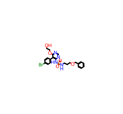 O=S(=O)(NCCCOCc1ccccc1)Nc1ncnc(OCCO)c1-c1ccc(Br)cc1